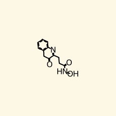 O=C(CCC1=Nc2ccccc2CC1=O)NO